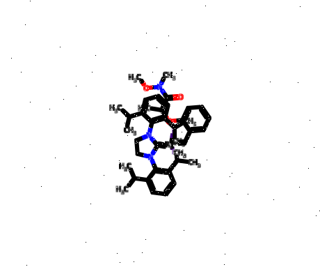 CON(C)C(=O)C(C)Oc1ccccc1[CH]=[Ru-4]([I])([I])=[C]1N(c2c(C(C)C)cccc2C(C)C)CCN1c1c(C(C)C)cccc1C(C)C